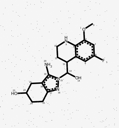 COc1cc(F)cc2c1NCCC2C(O)n1nc2c(c1N)CC(O)CC2